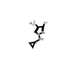 Cc1cn(PC2CC2)nc1I